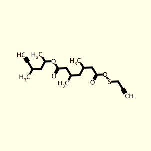 C#CCSOC(=O)CC(C)CC(C)CC(=O)OC(C)CC(C)C#C